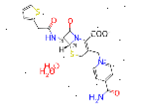 NC(=O)c1cc[n+](CC2=C(C(=O)[O-])N3C(=O)[C@@H](NC(=O)Cc4cccs4)[C@H]3SC2)cc1.O.O